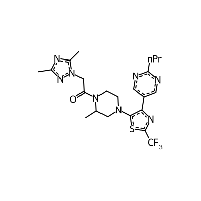 CCCc1ncc(-c2nc(C(F)(F)F)sc2N2CCN(C(=O)Cn3nc(C)nc3C)C(C)C2)cn1